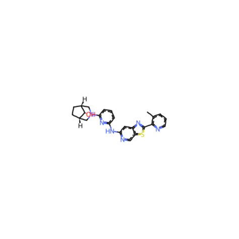 Cc1cccnc1-c1nc2cc(Nc3cccc(N4C[C@H]5CC[C@@H](C4)C5O)n3)ncc2s1